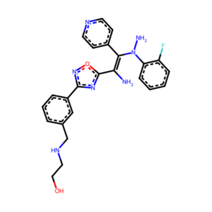 N/C(=C(/c1ccncc1)N(N)c1ccccc1F)c1nc(-c2cccc(CNCCO)c2)no1